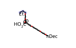 CC/C=C\C/C=C\C/C=C\CCCCCCCC(=O)OC(CCCCCCCCCCCCCCCCCCCCCCCCCCCCCCCCCCC)C(=O)O